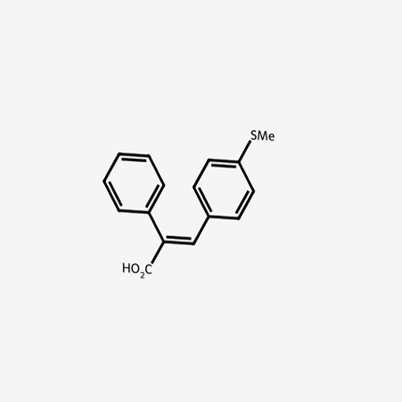 CSc1ccc(C=C(C(=O)O)c2ccccc2)cc1